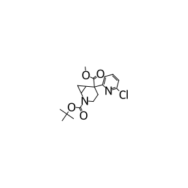 COC(=O)C1(c2cccc(Cl)n2)CCN(C(=O)OC(C)(C)C)C2CC21